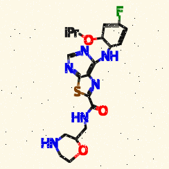 CC(C)OC1C=C(F)C=CC1Nc1ncnc2sc(C(=O)NCC3CNCCO3)nc12